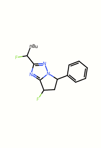 CCCCC(F)c1nc2n(n1)C(c1ccccc1)CC2F